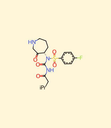 CC(C)CC(=O)NC(=O)N([C@H]1CCCNCC1=O)S(=O)(=O)c1ccc(F)cc1